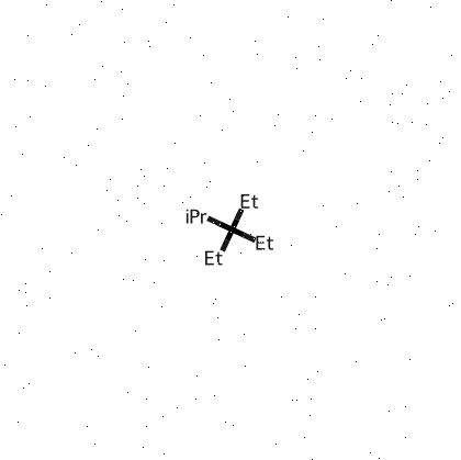 CCC(CC)(CC)C(C)C